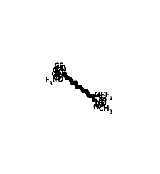 CS(=O)(=O)N(CCCCCCCCCCCCN(S(=O)(=O)C(F)(F)F)S(=O)(=O)C(F)(F)F)S(=O)(=O)C(F)(F)F